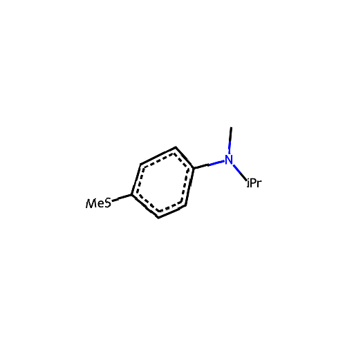 CSc1ccc(N(C)C(C)C)cc1